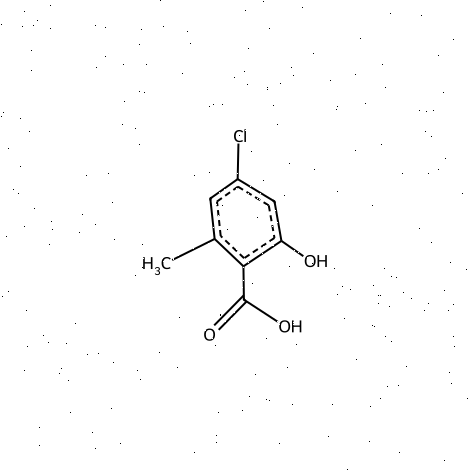 Cc1cc(Cl)cc(O)c1C(=O)O